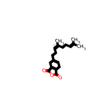 CC(C)=CCC/C(C)=C\CCC1=CCC2=C(C1)C(=O)OC2=O